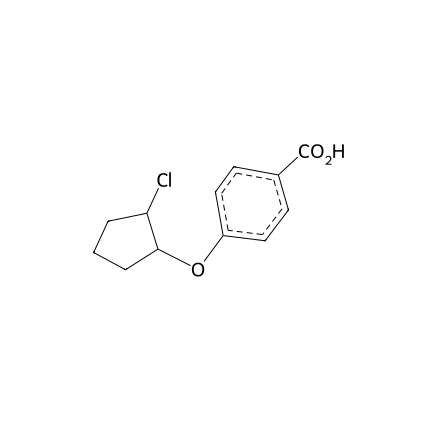 O=C(O)c1ccc(OC2CCCC2Cl)cc1